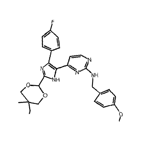 COc1ccc(CNc2nccc(-c3[nH]c(C4OCC(C)(C)CO4)nc3-c3ccc(F)cc3)n2)cc1